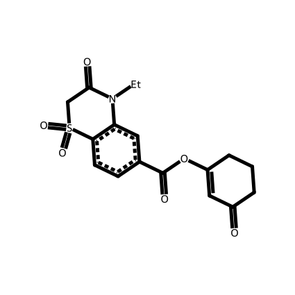 CCN1C(=O)CS(=O)(=O)c2ccc(C(=O)OC3=CC(=O)CCC3)cc21